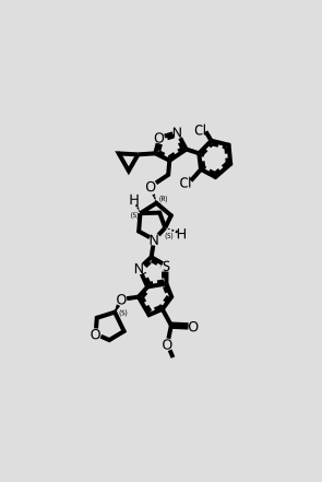 COC(=O)c1cc(O[C@H]2CCOC2)c2nc(N3C[C@@H]4C[C@H]3C[C@H]4OCc3c(-c4c(Cl)cccc4Cl)noc3C3CC3)sc2c1